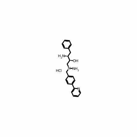 Cl.N[C@@H](Cc1ccccc1)[C@@H](O)CN(N)Cc1ccc(-c2ccccn2)cc1